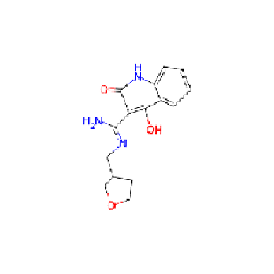 NC(=NCC1CCOC1)c1c(O)c2ccccc2[nH]c1=O